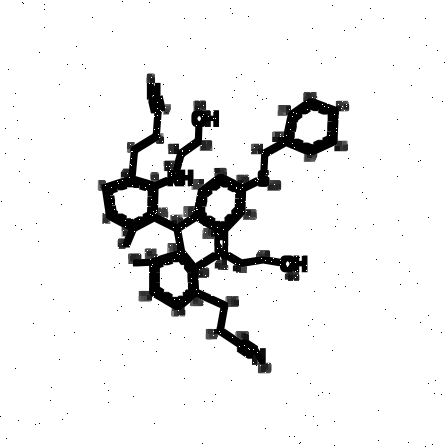 Cc1ccc(CCC#N)c(NCCO)c1C(c1ccc(SCc2ccccc2)cc1)c1c(C)ccc(CCC#N)c1NCCO